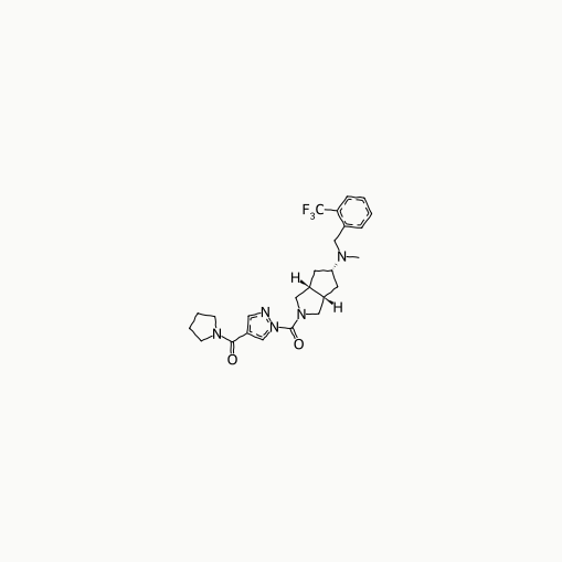 CN(Cc1ccccc1C(F)(F)F)[C@@H]1C[C@@H]2CN(C(=O)n3cc(C(=O)N4CCCC4)cn3)C[C@@H]2C1